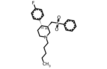 CCCCCN1CC[C@H](c2ccc(F)cc2)[C@@H](CS(=O)(=O)c2ccccc2)C1